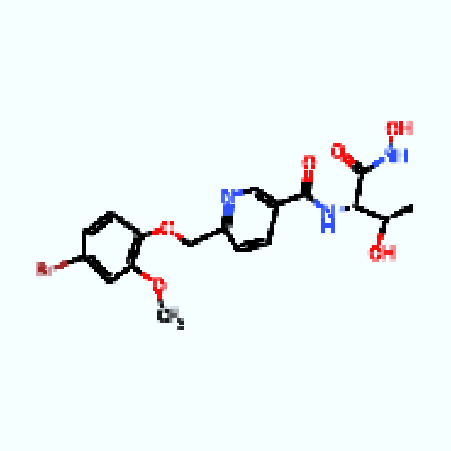 C[C@@H](O)[C@H](NC(=O)c1ccc(COc2ccc(Br)cc2OC(F)(F)F)nc1)C(=O)NO